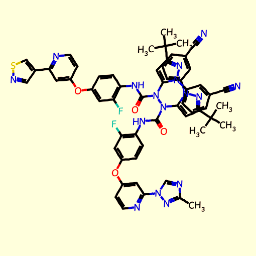 Cc1ncn(-c2cc(Oc3ccc(NC(=O)N(c4cc(C(C)(C)C)nn4-c4cccc(C#N)c4)N(C(=O)Nc4ccc(Oc5ccnc(-c6cnsc6)c5)cc4F)c4cc(C(C)(C)C)nn4-c4cccc(C#N)c4)c(F)c3)ccn2)n1